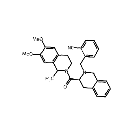 COc1cc2c(cc1OC)C(C)N(C(=O)[C@@H]1Cc3ccccc3CN1Cc1ccccc1C#N)CC2